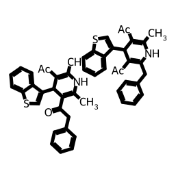 CC(=O)C1=C(C)NC(C)=C(C(=O)Cc2ccccc2)C1c1csc2ccccc12.CC(=O)C1=C(C)NC(Cc2ccccc2)=C(C(C)=O)C1c1csc2ccccc12